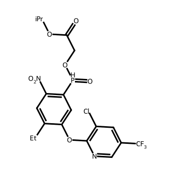 CCc1cc([N+](=O)[O-])c([PH](=O)OCC(=O)OC(C)C)cc1Oc1ncc(C(F)(F)F)cc1Cl